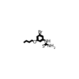 CCCCOc1cc(Br)cc(NC(N)=S)c1